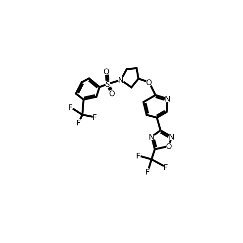 O=S(=O)(c1cccc(C(F)(F)F)c1)N1CCC(Oc2ccc(-c3noc(C(F)(F)F)n3)cn2)C1